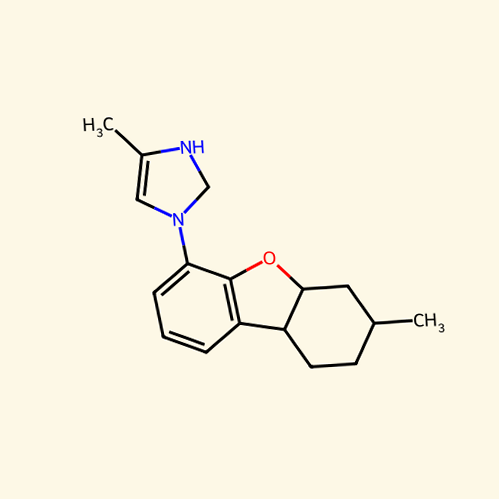 CC1=CN(c2cccc3c2OC2CC(C)CCC32)CN1